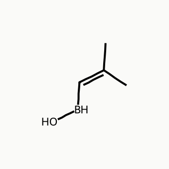 CC(C)=CBO